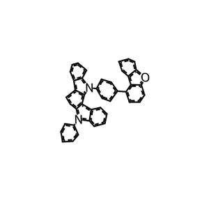 c1ccc(-n2c3ccccc3c3c2ccc2c4ccccc4n(-c4ccc(-c5cccc6oc7ccccc7c56)cc4)c23)cc1